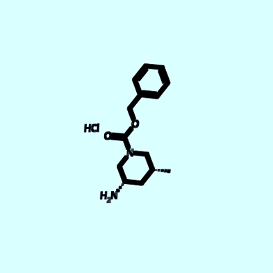 C[C@@H]1C[C@H](N)CN(C(=O)OCc2ccccc2)C1.Cl